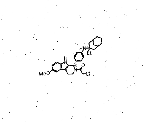 CCC1(Nc2ccc([C@H]3c4[nH]c5ccc(OC)cc5c4CCN3C(=O)CCl)cc2)CC2CCCC(C2)C1